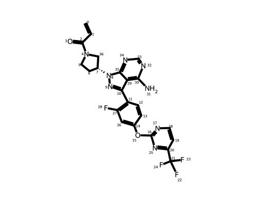 C=CC(=O)N1CC[C@@H](n2nc(-c3ccc(Oc4nccc(C(F)(F)F)n4)cc3F)c3c(N)ncnc32)C1